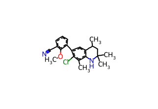 COc1c(C#N)cccc1-c1cc2c(c(C)c1Cl)NC(C)(C)CC2C